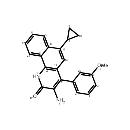 COc1cccc(-c2c(N)c(=O)[nH]c3c2cc(C2CC2)c2ccccc23)c1